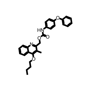 CCCCOc1c(C)c(COC(=O)Nc2ccc(Oc3ccccc3)cc2)nc2ccccc12